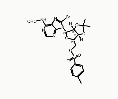 Cc1ccc(S(=O)(=O)OC[C@H]2O[C@@H](n3c(Br)nc4c(NC=O)ncnc43)[C@@H]3OC(C)(C)O[C@@H]32)cc1